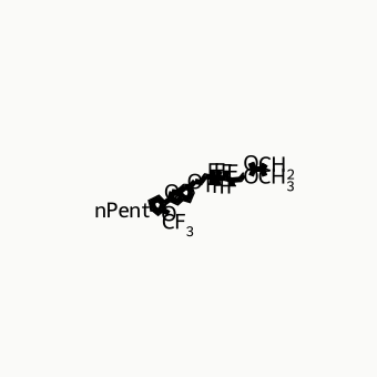 C=C(C)C(=O)OCCC(F)(F)C(F)(F)C(F)(F)C(F)(F)CCOc1ccc2cc(-c3ccc(CCCCC)cc3OC(F)(F)F)oc2c1